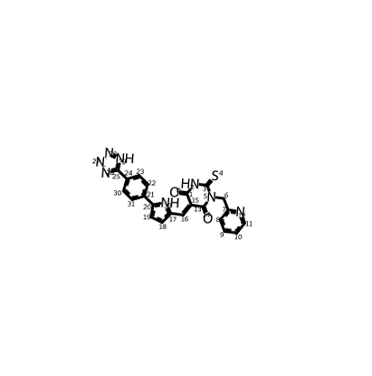 O=C1NC(=S)N(Cc2ccccn2)C(=O)/C1=C/c1ccc(-c2ccc(-c3nnn[nH]3)cc2)[nH]1